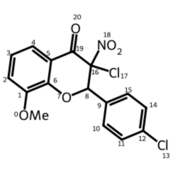 COc1cccc2c1OC(c1ccc(Cl)cc1)C(Cl)([N+](=O)[O-])C2=O